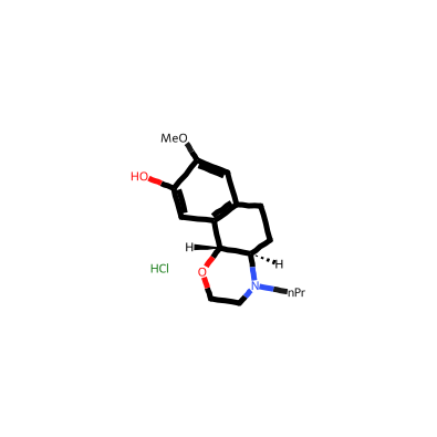 CCCN1CCO[C@@H]2c3cc(O)c(OC)cc3CC[C@H]21.Cl